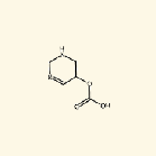 O=C(O)OC1C=NCNC1